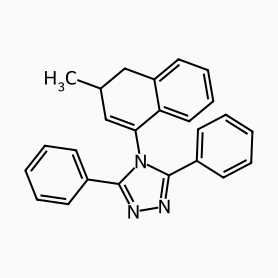 CC1C=C(n2c(-c3ccccc3)nnc2-c2ccccc2)c2ccccc2C1